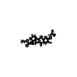 Cc1cc(C(C)N2Cc3c(ccnc3NC(=O)OC(C)C)C2=O)cnc1OCC(F)F